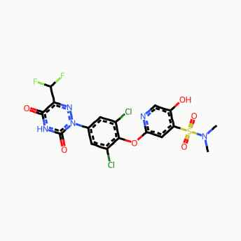 CN(C)S(=O)(=O)c1cc(Oc2c(Cl)cc(-n3nc(C(F)F)c(=O)[nH]c3=O)cc2Cl)ncc1O